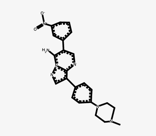 CN1CCN(c2ccc(-c3cnn4c(N)c(-c5cccc([N+](=O)[O-])c5)cnc34)cc2)CC1